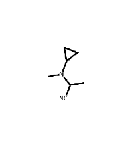 CC(C#N)N(C)C1CC1